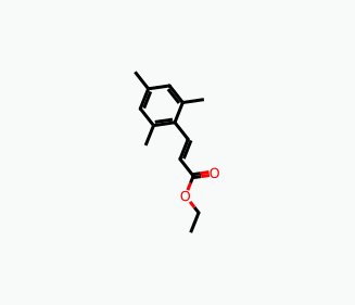 CCOC(=O)C=Cc1c(C)cc(C)cc1C